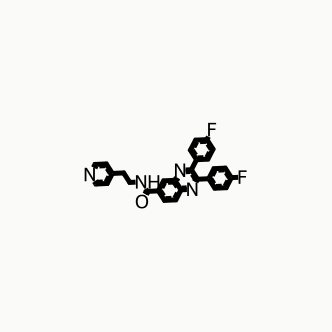 O=C(NCCc1ccncc1)c1ccc2nc(-c3ccc(F)cc3)c(-c3ccc(F)cc3)nc2c1